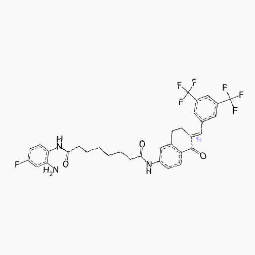 Nc1cc(F)ccc1NC(=O)CCCCCCC(=O)Nc1ccc2c(c1)CC/C(=C\c1cc(C(F)(F)F)cc(C(F)(F)F)c1)C2=O